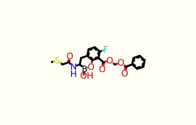 CSCC(=O)NC1Cc2ccc(F)c(C(=O)OCOC(=O)c3ccccc3)c2OB1O